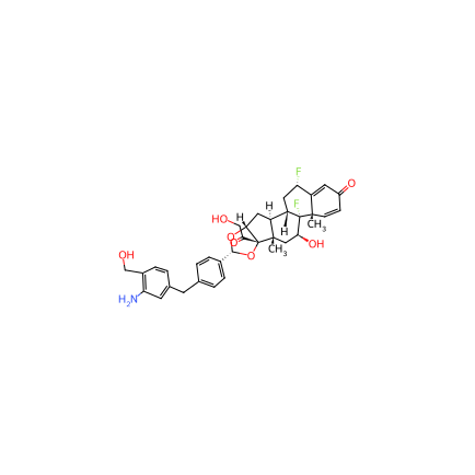 C[C@]12C=CC(=O)C=C1[C@@H](F)C[C@H]1[C@@H]3C[C@H]4O[C@@H](c5ccc(Cc6ccc(CO)c(N)c6)cc5)O[C@@]4(C(=O)CO)[C@@]3(C)C[C@H](O)[C@@]12F